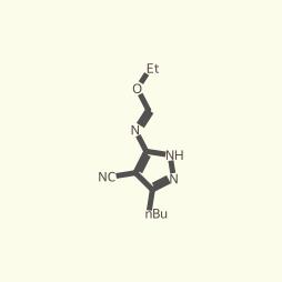 CCCCc1n[nH]c(N=COCC)c1C#N